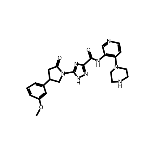 COc1cccc(C2CC(=O)N(c3nc(C(=O)Nc4cnccc4N4CCNCC4)n[nH]3)C2)c1